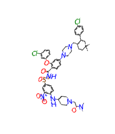 CN(C)C(=O)CN1CCC(Nc2ccc([S+]([O-])NC(=O)c3ccc(N4CCN(CC5=C(c6ccc(Cl)cc6)CC(C)(C)CC5)CC4)cc3Oc3cccc(Cl)c3)cc2[N+](=O)[O-])CC1